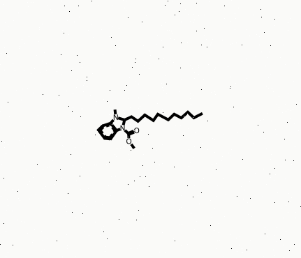 CCCCCCCCCCCC1N(C)c2ccccc2N1C(=O)OC